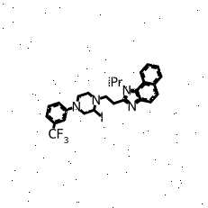 CC(C)n1c(CCN2CCN(c3cccc(C(F)(F)F)c3)CC2I)nc2ccc3ccccc3c21